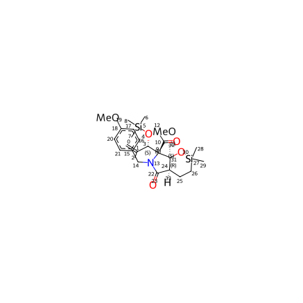 C=C(C)[C@H](O[Si](C)(C)C)[C@@]1(C(=O)OC)N(Cc2ccc(OC)cc2)C(=O)[C@@H]2CC[Si](C)(C)O[C@@]21C